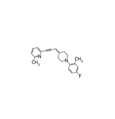 Cc1cccc(C#CC=C2CCN(c3ccc(F)cc3C)CC2)n1